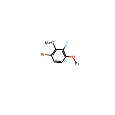 CCOc1ccc(Br)c(OC)c1F